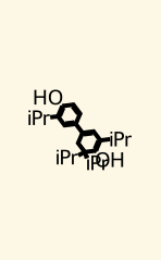 CC(C)C1=C(O)C(C(C)C)(C(C)C)CC(c2ccc(O)c(C(C)C)c2)=C1